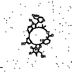 CCn1c(-c2cnccc2COC)c2c3cc(ccc31)-c1cc(O)cc(c1)C[C@H](NC(=O)C(C(C)C)N(C)C(=O)[C@H](C)O)C(=O)N1CCC[C@H](N1)C(=O)OCC(C)(C)C2